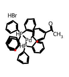 Br.CC(=O)c1cc[c]([Pd]([PH](c2ccccc2)(c2ccccc2)c2ccccc2)[PH](c2ccccc2)(c2ccccc2)c2ccccc2)cc1